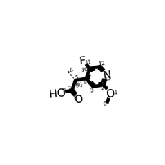 COc1cc([C@@H](C)C(=O)O)c(F)cn1